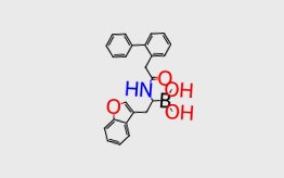 O=C(Cc1ccccc1-c1ccccc1)NC(Cc1coc2ccccc12)B(O)O